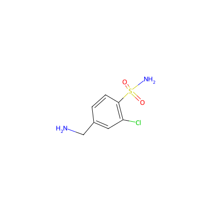 NCc1ccc(S(N)(=O)=O)c(Cl)c1